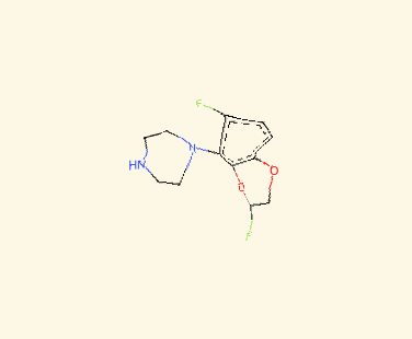 Fc1ccc2c(c1N1CCNCC1)OC(F)CO2